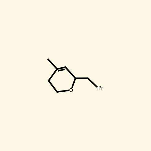 CC1=CC(CC(C)C)OCC1